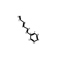 [CH]=CC=CC=Cc1ccccc1